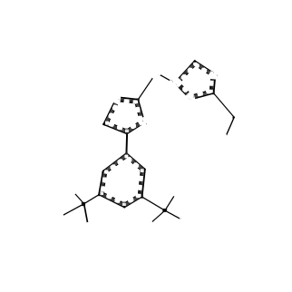 CCc1ncn(Sc2nc(-c3cc(C(F)(F)F)cc(C(F)(F)F)c3)cs2)n1